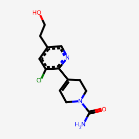 NC(=O)N1CC=C(c2ncc(CCO)cc2Cl)CC1